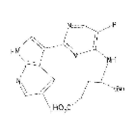 CC(C)(C)C(CCC(=O)O)Nc1nc(-c2c[nH]c3ncc(F)cc23)ncc1F